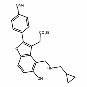 CCOC(=O)Cc1c(-c2ccc(OC)cc2)oc2ccc(O)c(CNCC3CC3)c12